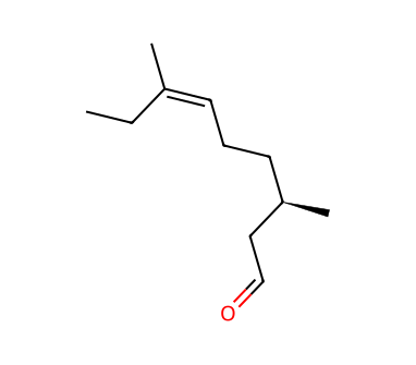 CC/C(C)=C\CC[C@@H](C)CC=O